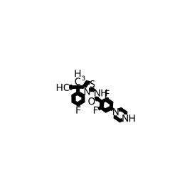 C#C[C@@](C)(c1ccc(F)cc1)c1csc(NC(=O)c2c(F)cc(N3CCNCC3)cc2F)n1